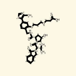 Cc1ncsc1-c1ccc(CNC(=O)[C@@H]2C[C@@H](O)CN2C(=O)[C@H](C(C)C)N2Cc3ccccc3C2=O)c(OCCCOCCC(=O)O)c1